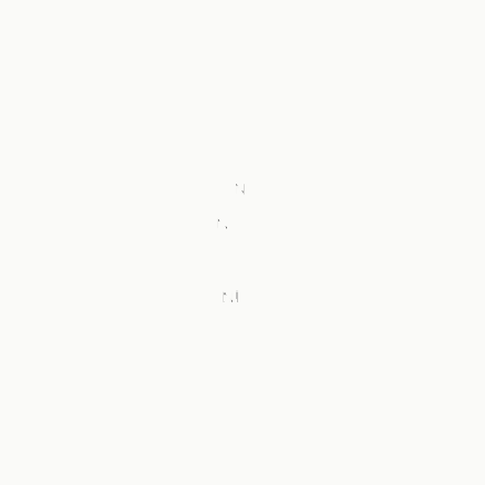 C=CCNc1cc2ccccc2nn1